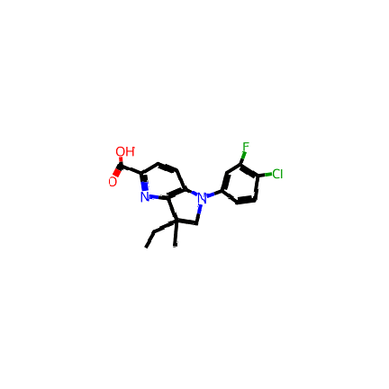 CCC1(C)CN(c2ccc(Cl)c(F)c2)c2ccc(C(=O)O)nc21